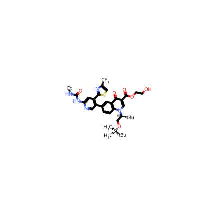 CCNC(=O)Nc1cc(-c2nc(C(F)(F)F)cs2)c(-c2ccc3c(c2)c(=O)c(C(=O)OCCO)cn3[C@H](CO[Si](C)(C)C(C)(C)C)C(C)(C)C)cn1